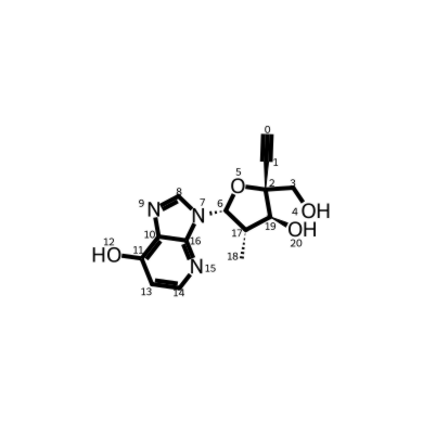 C#C[C@]1(CO)O[C@@H](n2cnc3c(O)ccnc32)[C@@H](C)[C@@H]1O